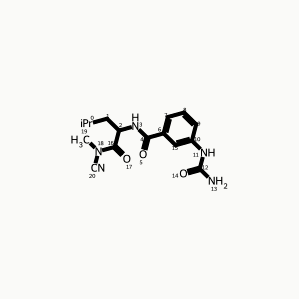 CC(C)CC(NC(=O)c1cccc(NC(N)=O)c1)C(=O)N(C)C#N